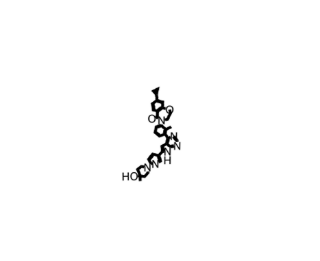 Cc1c(-c2ncnc3[nH]c(-c4ccc(N5CCC(C)(O)CC5)nc4)cc23)cccc1N1CCOc2cc(C3CC3)ccc2C1=O